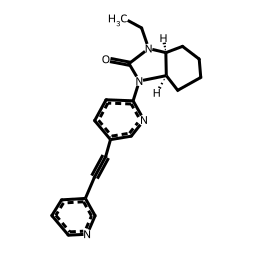 CCN1C(=O)N(c2ccc(C#Cc3cccnc3)cn2)[C@@H]2CCCC[C@@H]21